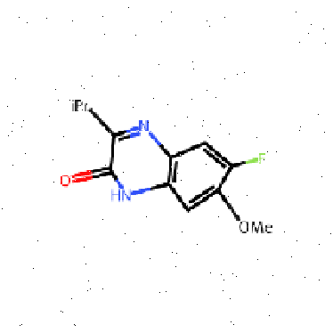 COc1cc2[nH]c(=O)c(C(C)C)nc2cc1F